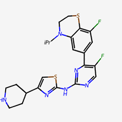 CC(C)N1CCSc2c(F)cc(-c3nc(Nc4nc(C5CCNCC5)cs4)ncc3F)cc21